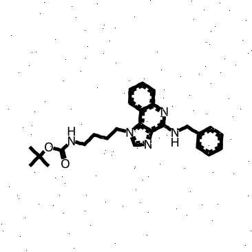 CC(C)(C)OC(=O)NCCCCn1cnc2c(NCc3ccccc3)nc3ccccc3c21